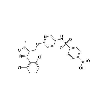 Cc1onc(-c2c(Cl)cccc2Cl)c1COc1ccc(NS(=O)(=O)c2ccc(C(=O)O)cc2)cn1